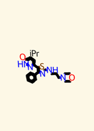 CC(C)c1cc(-c2sc(NCCCN3CCOCC3)nc2-c2ccccc2)n[nH]c1=O